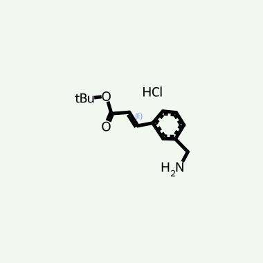 CC(C)(C)OC(=O)/C=C/c1cccc(CN)c1.Cl